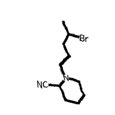 CC(Br)CCCN1CCCCC1C#N